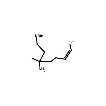 CCC/C=C\CCC(C)(N)CCNC